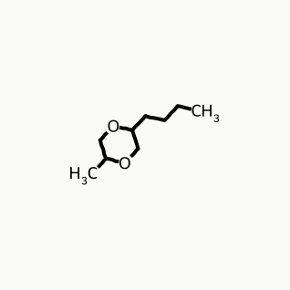 CCCCC1COC(C)CO1